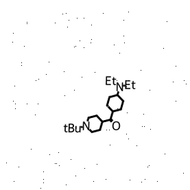 CCN(CC)C1CCC(C(=O)C2CCN(C(C)(C)C)CC2)CC1